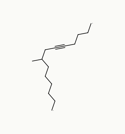 [CH2]CCCC#CCC(C)CCCCC[CH2]